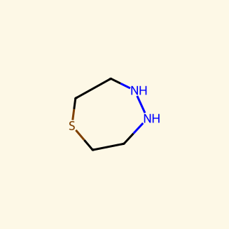 C1CSCCNN1